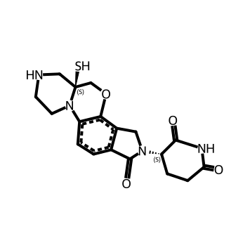 O=C1CC[C@H](N2Cc3c(ccc4c3OC[C@@]3(S)CNCCN43)C2=O)C(=O)N1